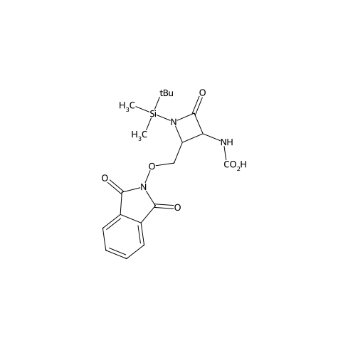 CC(C)(C)[Si](C)(C)N1C(=O)C(NC(=O)O)C1CON1C(=O)c2ccccc2C1=O